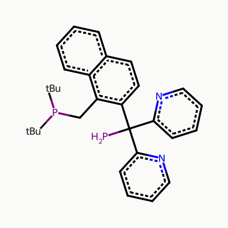 CC(C)(C)P(Cc1c(C(P)(c2ccccn2)c2ccccn2)ccc2ccccc12)C(C)(C)C